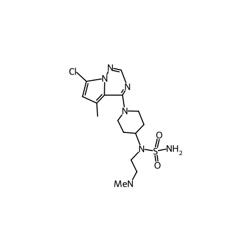 CNCCN(C1CCN(c2ncnn3c(Cl)cc(C)c23)CC1)S(N)(=O)=O